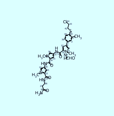 Cc1cc(C2=C[N+](C)(NC=O)C(C(=O)Nc3cc(C(=O)Nc4cc(C(=O)NCCC(N)=O)n(C)c4)n(C)c3)=C2)ccc1SCCCl